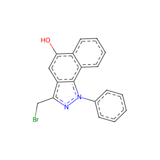 Oc1cc2c(CBr)nn(-c3ccccc3)c2c2ccccc12